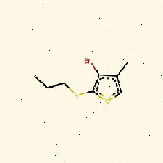 CCCSc1scc(C)c1Br